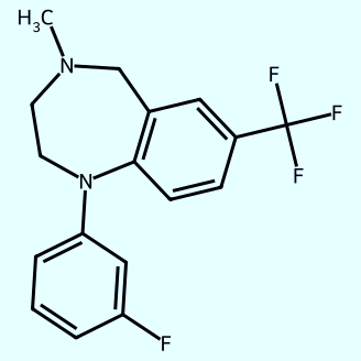 CN1CCN(c2cccc(F)c2)c2ccc(C(F)(F)F)cc2C1